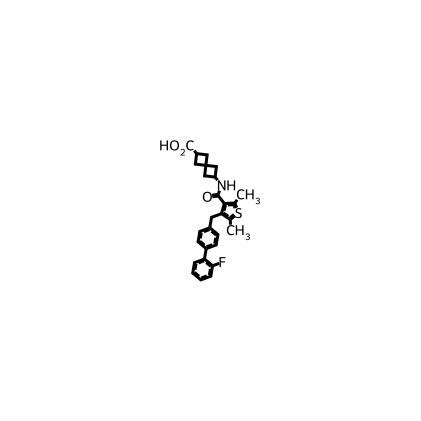 Cc1sc(C)c(C(=O)NC2CC3(C2)CC(C(=O)O)C3)c1Cc1ccc(-c2ccccc2F)cc1